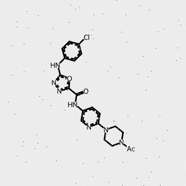 CC(=O)N1CCN(c2ccc(NC(=O)c3nnc(Nc4ccc(Cl)cc4)o3)cn2)CC1